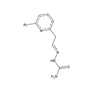 CC(=O)c1cccc(CC=NNC(N)=S)n1